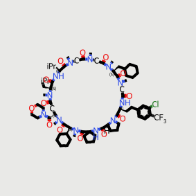 CC(C)C[C@H]1C(=O)N[C@@H](C(C)C)C(=O)N(C)CC(=O)N(C)CC(=O)N(C)[C@@H](CC2CCCCC2)C(=O)N(C)CC(=O)N[C@@H](CCc2ccc(C(F)(F)F)c(Cl)c2)C(=O)N2CCC[C@H]2C(=O)NC2(CCCC2)C(=O)N(C)[C@@H](C2CCCCC2)C(=O)N(C)[C@H](C(=O)N2CCOCC2)CC(=O)N1C